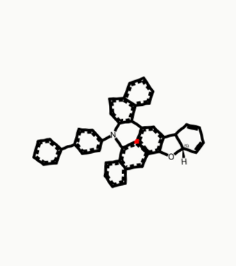 C1=CC2c3cc(-c4c(N(c5ccc(-c6ccccc6)cc5)c5cccc6ccccc56)ccc5ccccc45)ccc3O[C@H]2C=C1